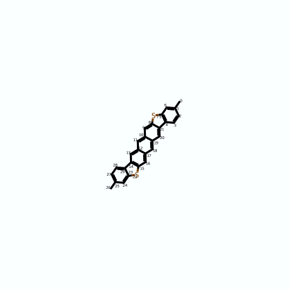 Cc1ccc2c(c1)sc1cc3cc4cc5c(cc4cc3cc12)sc1cc(C)ccc15